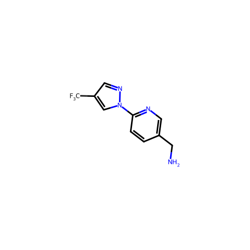 NCc1ccc(-n2cc(C(F)(F)F)cn2)nc1